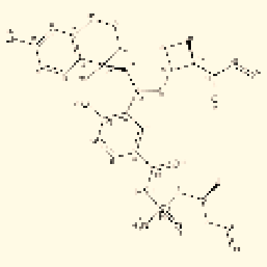 C=CC[C@H](C)C[SH](N)(=O)NC(=O)c1ccc2c(c1)N(C[C@@H]1CC[C@H]1[C@@H](O)C=C)C[C@@]1(CCCc3cc(Cl)ccc31)CO2